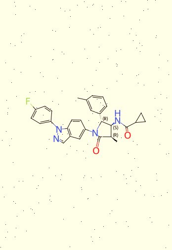 Cc1cccc([C@@H]2[C@@H](NC(=O)C3CC3)[C@@H](C)C(=O)N2c2ccc3c(cnn3-c3ccc(F)cc3)c2)c1